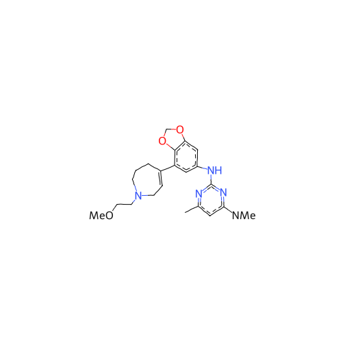 CNc1cc(C)nc(Nc2cc3c(c(C4=CCN(CCOC)CCC4)c2)OCO3)n1